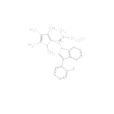 CC1=C(C)C(C)[C]([Zr+2]([CH]2C=C(c3ccccc3F)c3ccccc32)=[Si](C)C)=C1C.[Cl-].[Cl-]